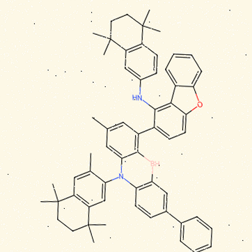 Cc1cc(-c2ccc3oc4ccccc4c3c2Nc2ccc3c(c2)C(C)(C)CCC3(C)C)c2c(c1)N(c1cc3c(cc1C)C(C)(C)CCC3(C)C)c1ccc(-c3ccccc3)cc1B2